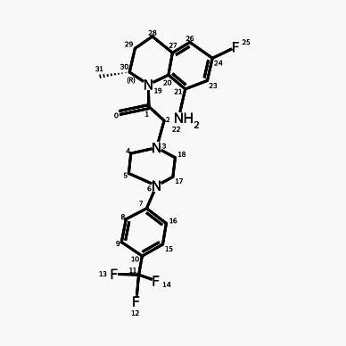 C=C(CN1CCN(c2ccc(C(F)(F)F)cc2)CC1)N1c2c(N)cc(F)cc2CC[C@H]1C